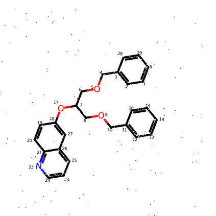 c1ccc(COCC(COCc2ccccc2)Oc2ccc3ncccc3c2)cc1